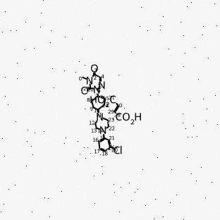 Cn1c(=O)cnn(C2CCC(N3CCN(c4cccc(Cl)c4)CC3)CC2)c1=O.O=C(O)C=CC(=O)O